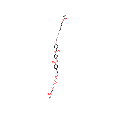 C=CC(=O)OCCCCCCCCCCCOC1CCC(C(=O)Oc2ccc(OC(=O)c3ccc(C#CCOCCOCCOCCOC(=O)C=C)cc3)cc2)CC1